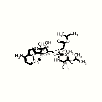 CC(C)OC(=O)[C@H](C)NP(=O)(N[C@@H](C)C(=O)OC(C)C)OC[C@H]1O[C@@](C#N)(c2ccc3c(N)ccnn23)[C@](C)(O)[C@@H]1O